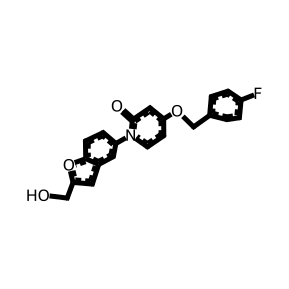 O=c1cc(OCc2ccc(F)cc2)ccn1-c1ccc2oc(CO)cc2c1